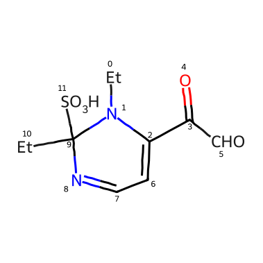 CCN1C(C(=O)C=O)=CC=NC1(CC)S(=O)(=O)O